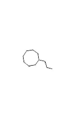 C[C](C)CCC1CCCCCCC1